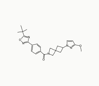 COc1ccn(C2CC3(C2)CN(C(=O)c2ccc(-c4noc(C(C)(C)C)n4)cc2)C3)n1